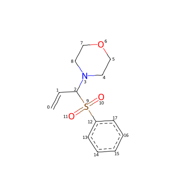 C=CC(N1CCOCC1)S(=O)(=O)c1ccccc1